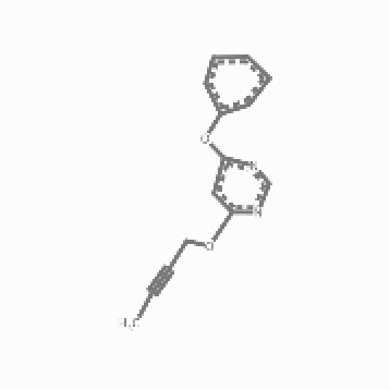 CC#CCOc1cc(Oc2ccccc2)ncn1